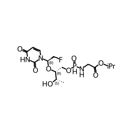 CC(C)OC(=O)CN[PH](=O)OC[C@@H](O[C@H](CF)n1ccc(=O)[nH]c1=O)[C@H](C)O